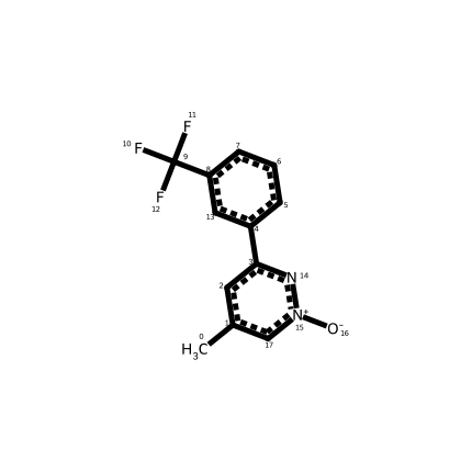 Cc1cc(-c2cccc(C(F)(F)F)c2)n[n+]([O-])c1